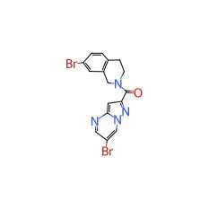 O=C(c1cc2ncc(Br)cn2n1)N1CCc2ccc(Br)cc2C1